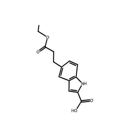 CCOC(=O)CCc1ccc2[nH]c(C(=O)O)cc2c1